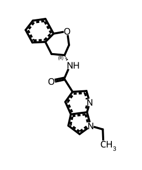 CCn1ccc2cc(C(=O)N[C@H]3COc4ccccc4C3)cnc21